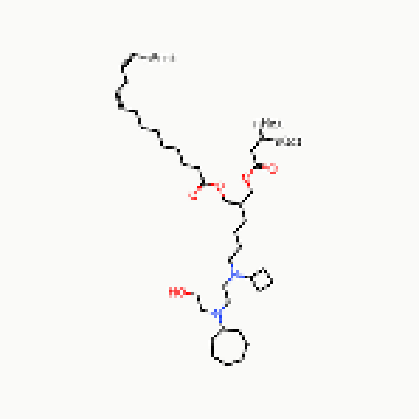 CCCCC/C=C\C/C=C\CCCCCCCC(=O)OCC(CCCCN(CCN(CCO)C1CCCCCC1)C1CCC1)COC(=O)CC(CCCCCC)CCCCCCCC